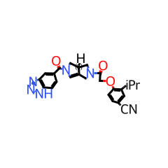 CC(C)c1cc(C#N)ccc1OCC(=O)N1CC2=CN(C(=O)c3ccc4[nH]nnc4c3)C[C@@H]2C1